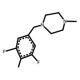 Cc1c(F)cc(CN2CCN(C)CC2)cc1F